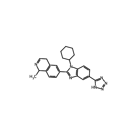 CC1N=CCc2cc(-c3nc4cc(-c5nnn[nH]5)ccc4n3C3CCCCC3)ccc21